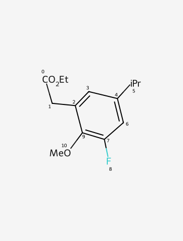 CCOC(=O)Cc1cc(C(C)C)cc(F)c1OC